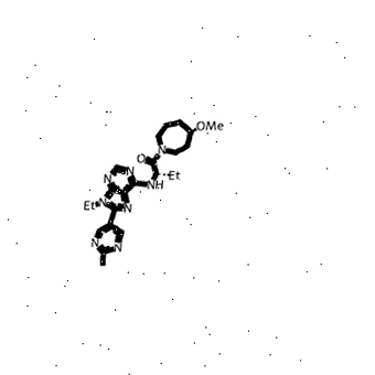 CC[C@H](Nc1ncnc2c1nc(-c1cnc(C)nc1)n2CC)C(=O)N1CCC[C@@H](OC)CC1